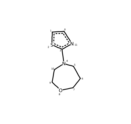 c1csc(N2CCCOCC2)n1